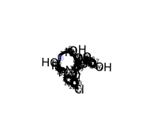 CN1CC/C=C/[C@H](O)[C@@H]2CC[C@H]2CN2C[C@@]3(CCCc4cc(Cl)ccc43)COc3ccc(cc32)[C@@](O)(C(=O)NS(=O)(=O)N2CCC(O)CC2)CC1=O